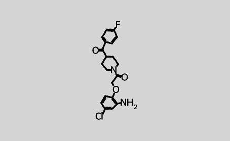 Nc1cc(Cl)ccc1OCC(=O)N1CCC(C(=O)c2ccc(F)cc2)CC1